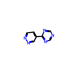 [c]1nnccc1-c1ncncn1